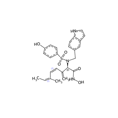 C=C(/C=C\C(C)=C/C)[C@H](C(=O)NO)N(Cc1ccc2[nH]ccc2c1)S(=O)(=O)c1ccc(O)cc1